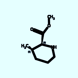 COC(=O)[C@H]1NCCC[C@H]1C